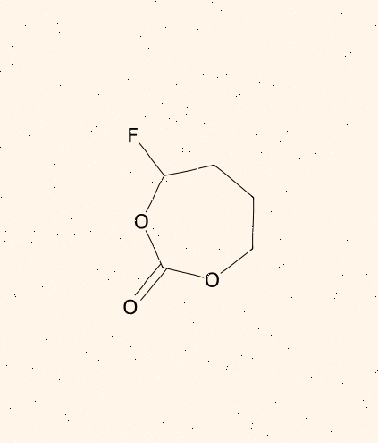 O=C1OCCCC(F)O1